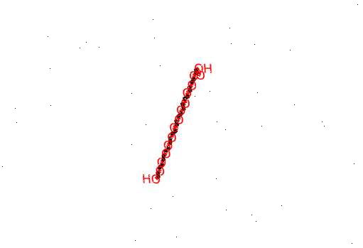 O=C(CO)OCCOCCOCCOCCOCCOCCOCCOCCOCCOCCOCCOCCO